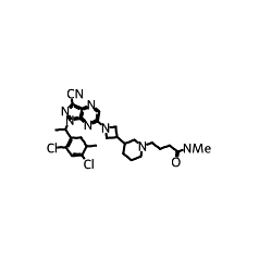 CNC(=O)CCCN1CCCC(C2CN(c3cnc4c(C#N)nn(C(C)C5=C(Cl)C=C(Cl)C(C)C5)c4n3)C2)C1